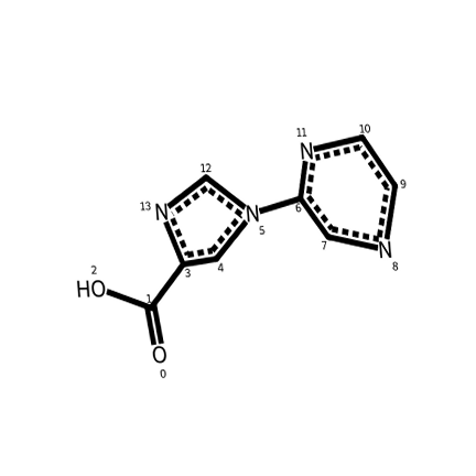 O=C(O)c1cn(-c2cnccn2)cn1